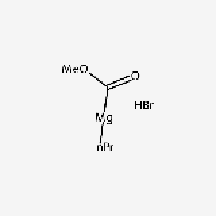 Br.CC[CH2][Mg][C](=O)OC